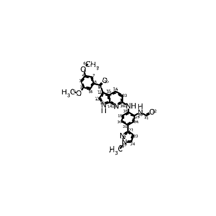 COc1cc(OC)cc(C(=O)c2c[nH]c3nc(Nc4ccc(-c5ccn(C)n5)cc4NC=O)ccc23)c1